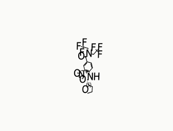 O=C(c1ccc(NC[C@@H]2CCCO2)c([N+](=O)[O-])c1)N(CC(F)(F)F)CC(F)(F)F